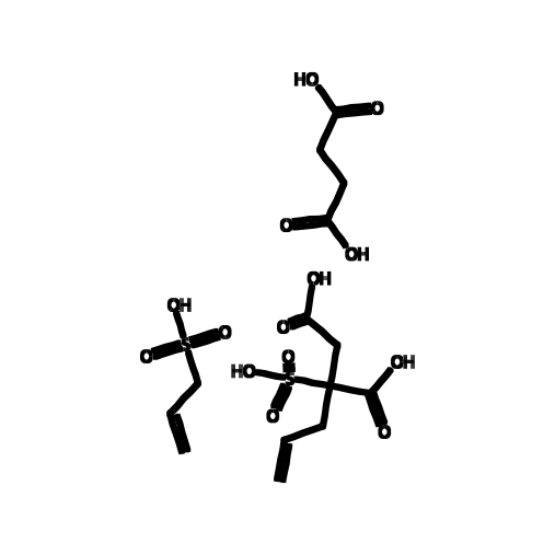 C=CCC(CC(=O)O)(C(=O)O)S(=O)(=O)O.C=CCS(=O)(=O)O.O=C(O)CCC(=O)O